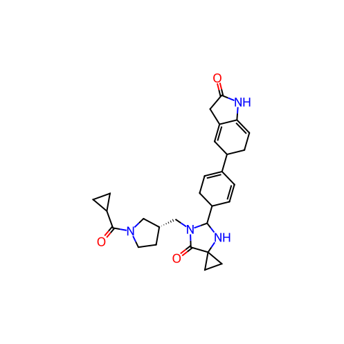 O=C1CC2=CC(C3=CCC(C4NC5(CC5)C(=O)N4C[C@@H]4CCN(C(=O)C5CC5)C4)C=C3)CC=C2N1